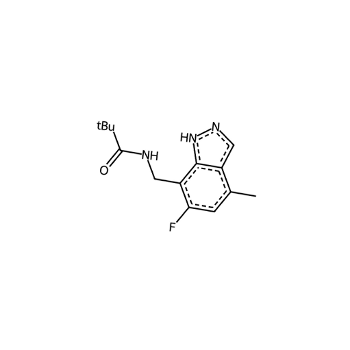 Cc1cc(F)c(CNC(=O)C(C)(C)C)c2[nH]ncc12